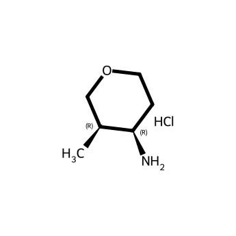 C[C@H]1COCC[C@H]1N.Cl